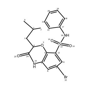 CC(C)CC1Oc2c(cc(Br)cc2S(=O)(=O)Nc2ccccc2)NC1=O